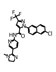 CN1CCN=C1c1ccc(NC(=O)c2cc(C(F)(F)F)nn2-c2ccc3cc(Cl)ccc3c2)nc1